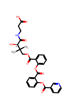 CC(C)(COC(=O)c1ccccc1OC(=O)c1ccccc1OC(=O)c1cccnc1)[C@@H](O)C(=O)NCCC(=O)O